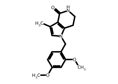 COc1ccc(Cn2cc(C)c3c2CCNC3=O)c(OC)c1